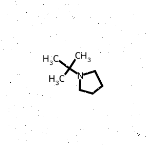 CC(C)(C)N1CCCC1